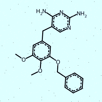 COc1cc(Cc2cnc(N)nc2N)cc(OCc2ccccc2)c1OC